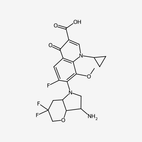 COc1c(N2CC(N)C3OCC(F)(F)CC32)c(F)cc2c(=O)c(C(=O)O)cn(C3CC3)c12